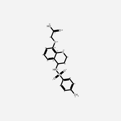 Cc1ccc(S(=O)(=O)NC2CCOc3c(OCC(=O)O)cccc32)cc1